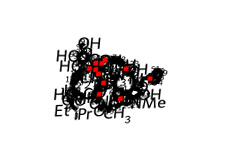 CC[C@H](CC(C)C)C(=O)N[C@H]1C(=O)C[C@@H](CC(=O)NC(=O)C(C)OCCCCNC)C(=O)N[C@H]2C(=O)C[C@H]3C(=O)N[C@H](C(=O)N[C@H](C(=O)CC4C5CC6CC(C5)CC4C6)c4cc(O)cc(O)c4-c4cc3ccc4O)[C@H](O)c3ccc(c(Cl)c3)Oc3cc2cc(c3O[C@@H]2O[C@H](CO)[C@@H](O)[C@H](O)[C@H]2O[C@H]2C[C@](C)(N)[C@H](O)[C@H](C)O2)Oc2ccc(cc2Cl)[C@H]1O